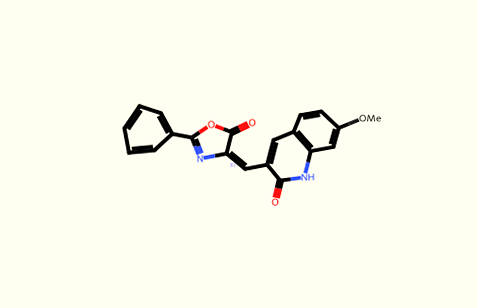 COc1ccc2cc(/C=C3/N=C(c4ccccc4)OC3=O)c(=O)[nH]c2c1